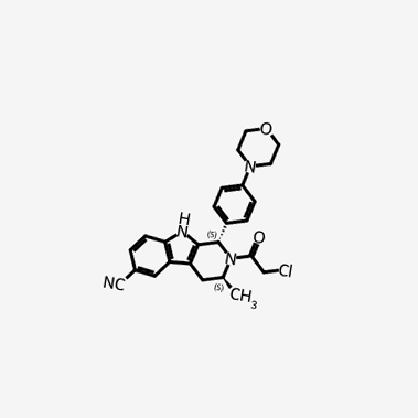 C[C@H]1Cc2c([nH]c3ccc(C#N)cc23)[C@H](c2ccc(N3CCOCC3)cc2)N1C(=O)CCl